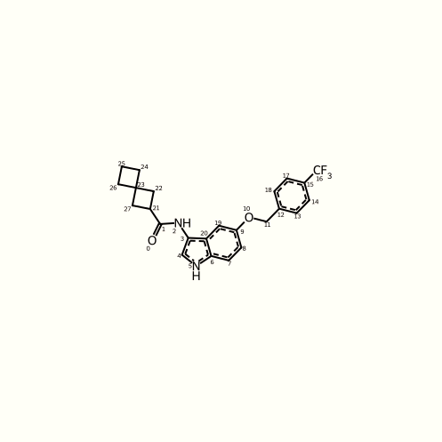 O=C(Nc1c[nH]c2ccc(OCc3ccc(C(F)(F)F)cc3)cc12)C1CC2(CCC2)C1